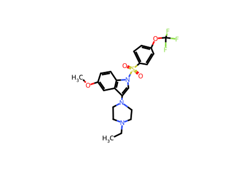 CCN1CCN(c2cn(S(=O)(=O)c3ccc(OC(F)(F)F)cc3)c3ccc(OC)cc23)CC1